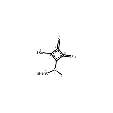 CCCCCN(C)c1c(C(C)(C)C)c(=S)c1=S